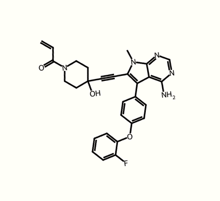 C=CC(=O)N1CCC(O)(C#Cc2c(-c3ccc(Oc4ccccc4F)cc3)c3c(N)ncnc3n2C)CC1